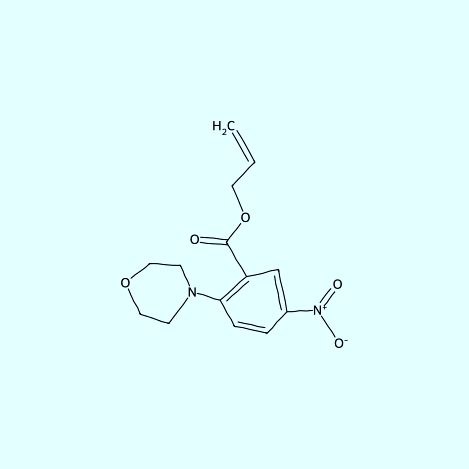 C=CCOC(=O)c1cc([N+](=O)[O-])ccc1N1CCOCC1